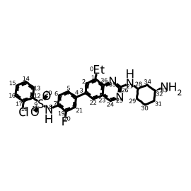 CCc1cc(-c2ccc(NS(=O)(=O)c3ccccc3Cl)c(F)c2)cc2cnc(NC3CCC[C@H](N)C3)nc12